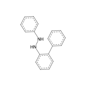 c1ccc(NNc2ccccc2-c2ccccc2)cc1